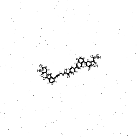 CNC(=O)c1c[nH]c2c(F)cc(-c3cccc4cc(-c5ccc(C(=O)NCCC#Cc6cccc7c6CN(C6CCC(=O)NC6=O)C7=O)nc5)ncc34)cc12